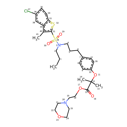 CCCN(CCCc1ccc(OC(C)(C)C(=O)OCCN2CCOCC2)cc1)S(=O)(=O)c1sc2ccc(Cl)cc2c1C